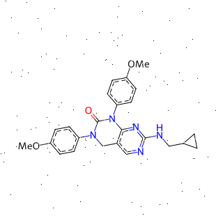 COc1ccc(N2Cc3cnc(NCC4CC4)nc3N(c3ccc(OC)cc3)C2=O)cc1